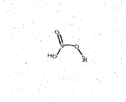 O=[Si](O)OS